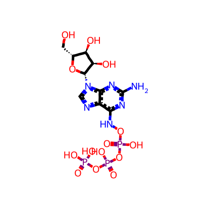 Nc1nc(NOP(=O)(O)OP(=O)(O)OP(=O)(O)O)c2ncn([C@@H]3O[C@H](CO)[C@@H](O)[C@H]3O)c2n1